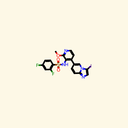 COc1nccc(-c2ccc3ncc(I)n3c2)c1NS(=O)(=O)c1ccc(F)cc1F